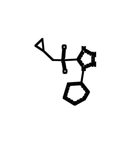 O=S(=O)(CC1CC1)c1nnnn1-c1ccccc1